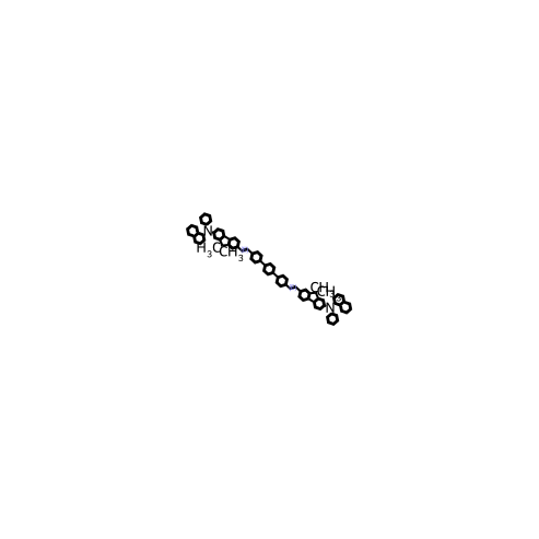 CC1(C)c2cc(/C=C/c3ccc(-c4ccc(-c5ccc(/C=C/c6ccc7c(c6)C(C)(C)c6cc(N(c8ccccc8)c8cccc9ccccc89)ccc6-7)cc5)cc4)cc3)ccc2-c2ccc(N(c3ccccc3)c3cccc4ccccc34)cc21